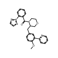 COc1ccc(CC2COCCN2C(=O)c2ccccc2-n2nccn2)cc1-c1ccccn1